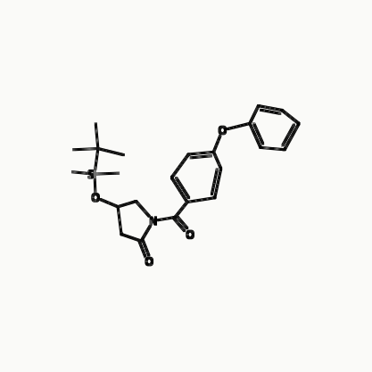 CC(C)(C)[Si](C)(C)OC1CC(=O)N(C(=O)c2ccc(Oc3ccccc3)cc2)C1